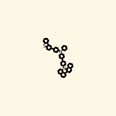 c1ccc(N(c2ccc(-c3ccc(N4c5c(ccc6ccccc56)-c5cccc6cccc4c56)cc3)cc2)c2ccc(-c3ccc4sc5ccccc5c4c3)cc2)cc1